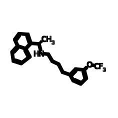 C[C@@H](NCCCCc1cccc(OC(F)(F)F)c1)c1cccc2ccccc12